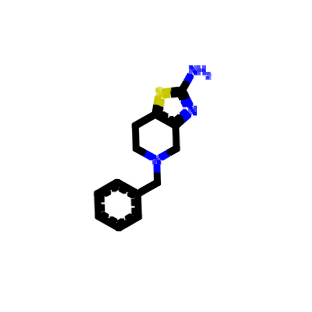 Nc1nc2c(s1)CCN(Cc1ccccc1)C2